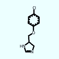 Clc1ccc(OCC2CN=CN2)cc1